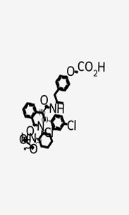 CC(Cc1ccc(OCC(=O)O)cc1)NC(=O)[C@@H]1c2ccccc2C(=O)N([C@H]2CCCC[C@@H]2NS(C)(=O)=O)[C@H]1c1ccc(Cl)cc1Cl